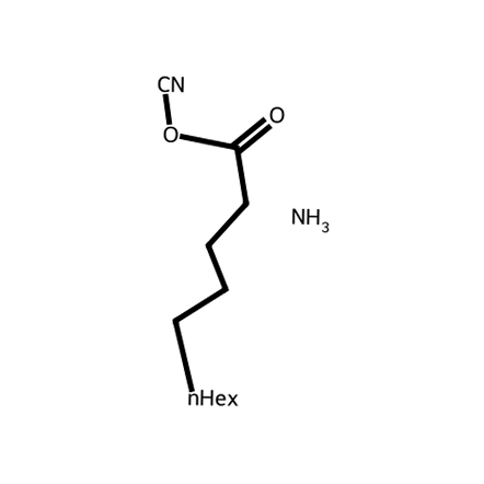 CCCCCCCCCCC(=O)OC#N.N